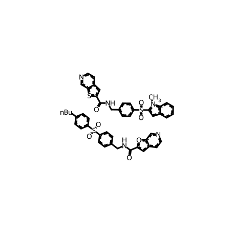 CCCCc1ccc(S(=O)(=O)c2ccc(CNC(=O)c3cc4ccncc4o3)cc2)cc1.Cn1c(S(=O)(=O)c2ccc(CNC(=O)c3cc4ccncc4s3)cc2)cc2ccccc21